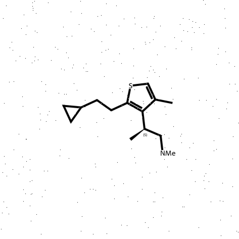 CNC[C@@H](C)c1c(C)csc1CCC1CC1